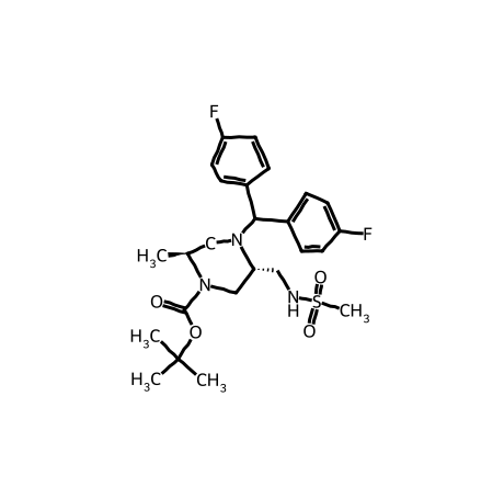 C[C@H]1CN(C(c2ccc(F)cc2)c2ccc(F)cc2)[C@H](CNS(C)(=O)=O)CN1C(=O)OC(C)(C)C